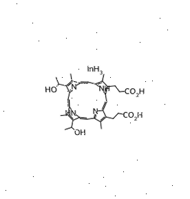 CC1=C(CCC(=O)O)c2cc3[nH]c(cc4nc(cc5[nH]c(cc1n2)c(C(C)O)c5C)C(C(C)O)=C4C)c(C)c3CCC(=O)O.[InH3]